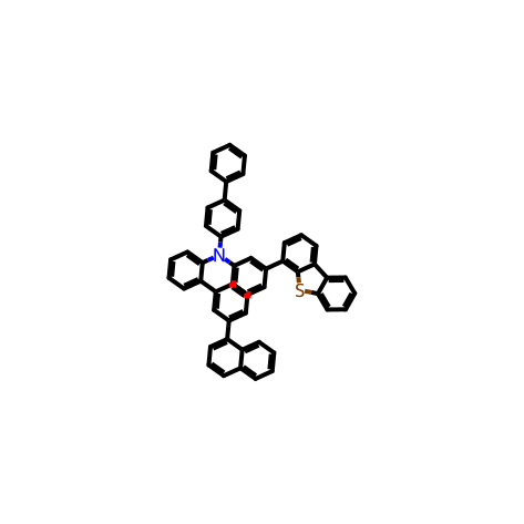 c1ccc(-c2ccc(N(c3cccc(-c4cccc5c4sc4ccccc45)c3)c3ccccc3-c3cccc(-c4cccc5ccccc45)c3)cc2)cc1